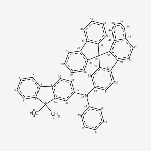 CC1(C)c2ccccc2-c2ccc(N(c3ccccc3)c3ccc4c(c3)C3(c5ccccc5-c5ccccc53)c3c-4ccc4ccccc34)cc21